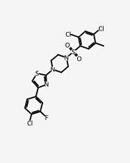 Cc1cc(S(=O)(=O)N2CCN(c3nc(-c4ccc(Cl)c(F)c4)cs3)CC2)c(Cl)cc1Cl